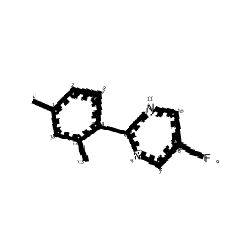 Cc1ccc(-c2ncc(F)cn2)c(C)c1